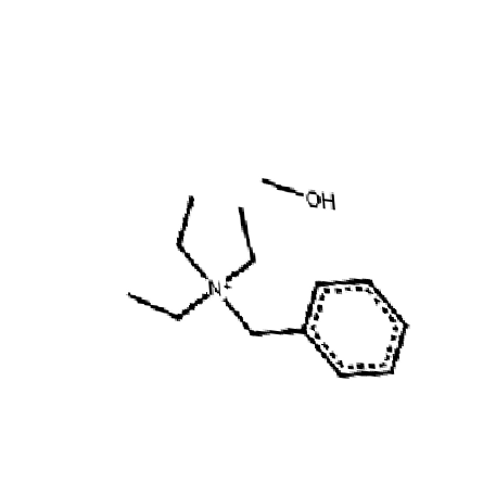 CC[N+](CC)(CC)Cc1ccccc1.CO